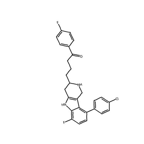 O=C(CCCC1Cc2[nH]c3c(F)ccc(-c4ccc(Cl)cc4)c3c2CN1)c1ccc(F)cc1